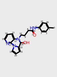 Cc1ccc(NC(=O)CCCN2c3cccnc3-n3cccc3C2O)cc1